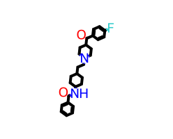 O=C(NC1CCC(CCN2CCC(C(=O)c3ccc(F)cc3)CC2)CC1)c1ccccc1